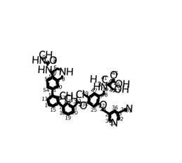 CNC(=O)N[C@@H]1CNCc2cc(-c3cccc(-c4cccc(COc5cc(OCc6cncc(C#N)c6)c(CN[C@@](C)(CO)C(=O)O)cc5Cl)c4C)c3C)ccc21